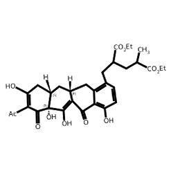 CCOC(=O)C(C)CC(Cc1ccc(O)c2c1C[C@H]1C[C@H]3CC(O)=C(C(C)=O)C(=O)[C@]3(O)C(O)=C1C2=O)C(=O)OCC